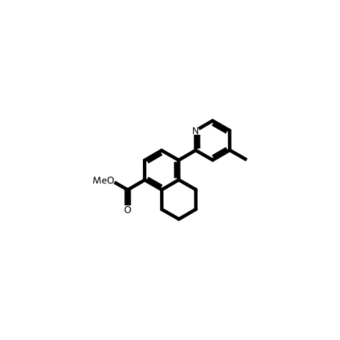 COC(=O)c1ccc(-c2cc(C)ccn2)c2c1CCCC2